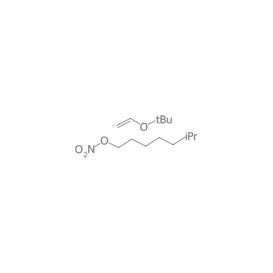 CC(C)CCCCCO[N+](=O)[O-].[CH]=COC(C)(C)C